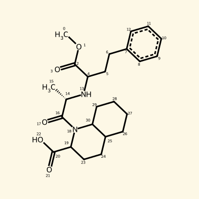 COC(=O)C(CCc1ccccc1)N[C@@H](C)C(=O)N1C(C(=O)O)CCC2CCCCC21